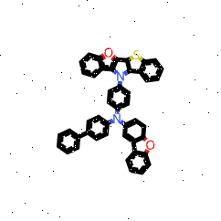 C1=C2c3ccccc3OC2CC=C1N(c1ccc(-c2ccccc2)cc1)c1ccc(N2c3c(oc4ccccc34)C3Sc4ccccc4C32)cc1